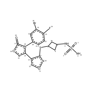 NS(=O)(=O)NC1CC(Sc2nonc2-c2noc(=O)n2-c2ccc(F)c(Br)c2)C1